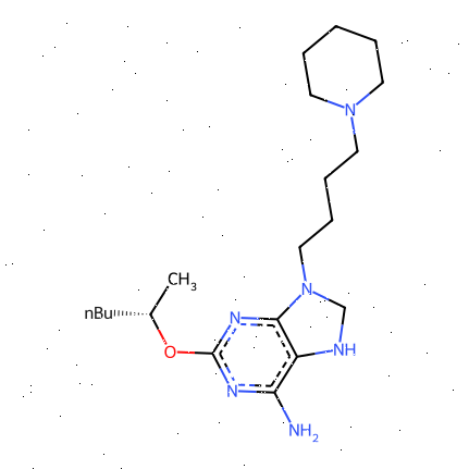 CCCC[C@H](C)Oc1nc(N)c2c(n1)N(CCCCN1CCCCC1)CN2